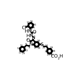 O=C(N/N=C1\C(=O)N(CCc2ccccc2)c2ccc(SCCc3ccc(C(=O)O)cc3)cc21)Nc1ccccc1Cl